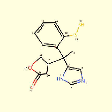 CC(c1cnc[nH]1)(c1ccccc1SS)C1COC(=O)C1